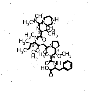 CC[C@H](C)[C@@H]([C@@H](CC(=O)N1CCC[C@H]1[C@H](OC)[C@@H](C)C(=O)NC(Cc1ccccc1)C(=O)O)OC)N(C)C(=O)[C@@H](N=C(N(C)C)N1CCNCC1)C(C)C